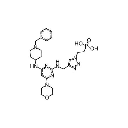 O=P(O)(O)CCn1cc(CNc2nc(NC3CCN(Cc4ccccc4)CC3)cc(N3CCOCC3)n2)nn1